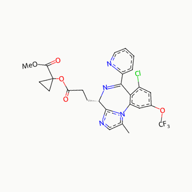 COC(=O)C1(OC(=O)CC[C@@H]2N=C(c3ccccn3)c3c(Cl)cc(OC(F)(F)F)cc3-n3c(C)cnc32)CC1